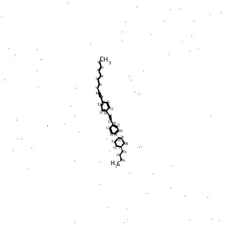 CCCCCCCCC#Cc1ccc(C#Cc2ccc([C@H]3CC[C@H](CCCC)CC3)cc2)cc1